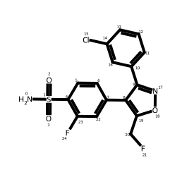 NS(=O)(=O)c1ccc(-c2c(-c3cccc(Cl)c3)noc2CF)cc1F